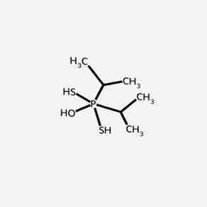 CC(C)P(O)(S)(S)C(C)C